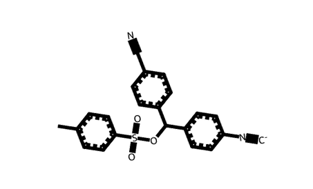 [C-]#[N+]c1ccc(C(OS(=O)(=O)c2ccc(C)cc2)c2ccc(C#N)cc2)cc1